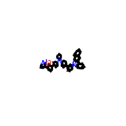 c1ccc(N(c2ccc(-c3cccc(-n4c5ccccc5c5cc6ccccc6cc54)c3)cc2)c2ccc(-c3cccc4c3oc3ncccc34)cc2)cc1